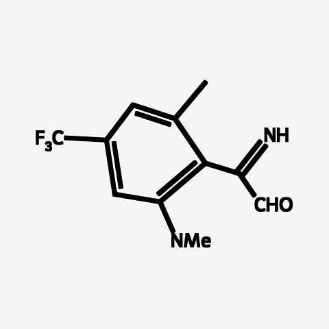 CNc1cc(C(F)(F)F)cc(C)c1C(=N)C=O